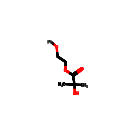 CC(C)OCCOC(=O)C(C)(C)O